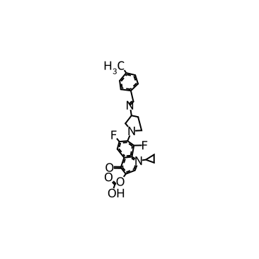 Cc1ccc(C=NC2CCN(c3c(F)cc4c(=O)c(OC(=O)O)cn(C5CC5)c4c3F)C2)cc1